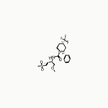 COCC(/C=C/S(C)(=O)=O)NC(=O)N1CC[C@H](C(F)(F)F)C[C@@H]1c1ccccc1